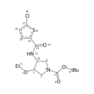 CCOC1CN(C(=O)OC(C)(C)C)CC1NC(=O)c1ccc(Cl)s1